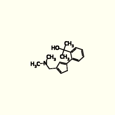 CN(C)CC1=CCC(c2ccccc2C(C)(C)O)=C1